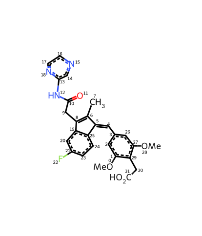 COc1cc(/C=C2/C(C)=C(CC(=O)Nc3cnccn3)c3cc(F)ccc32)cc(OC)c1CC(=O)O